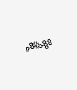 NC1C=C(c2c3ccccc3c(-c3cccc4ccccc34)c3ccccc23)C=C/C1=N/Nc1ccc(-c2cccnc2)c2ccccc12